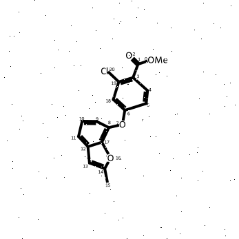 COC(=O)c1ccc(Oc2cccc3cc(C)oc23)cc1Cl